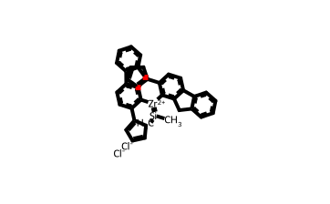 C[Si](C)=[Zr+2]([c]1c(C2=CC=CC2)ccc2c1Cc1ccccc1-2)[c]1c(C2=CC=CC2)ccc2c1Cc1ccccc1-2.[Cl-].[Cl-]